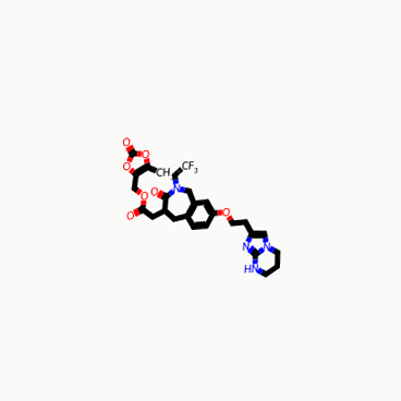 Cc1oc(=O)oc1COC(=O)CC1Cc2ccc(OCCc3cn4c(n3)NCCC4)cc2CN(CC(F)(F)F)C1=O